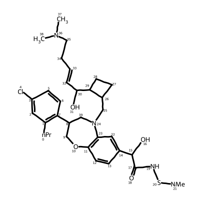 CCCc1cc(Cl)ccc1C1COc2ccc(C(O)C(=O)NSNC)cc2N(CC2CCC2C(O)/C=C/CCN(C)C)C1